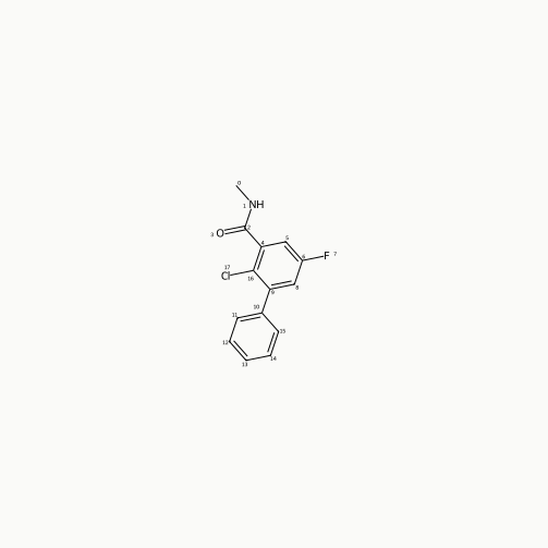 CNC(=O)c1cc(F)cc(-c2ccccc2)c1Cl